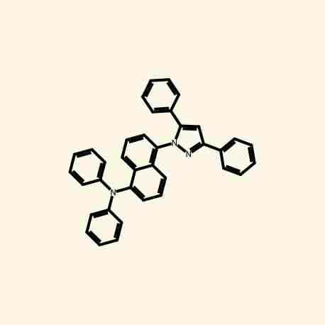 c1ccc(-c2cc(-c3ccccc3)n(-c3cccc4c(N(c5ccccc5)c5ccccc5)cccc34)n2)cc1